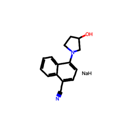 N#Cc1ccc(N2CCC(O)C2)c2ccccc12.[NaH]